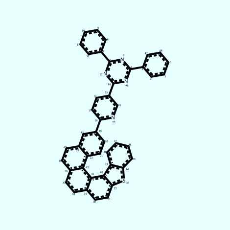 c1ccc(-c2nc(-c3ccccc3)nc(-c3ccc(-c4ccc5c(ccc6ccc7ccc8sc9ccccc9c8c7c65)c4)nc3)n2)cc1